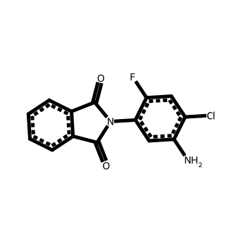 Nc1cc(N2C(=O)c3ccccc3C2=O)c(F)cc1Cl